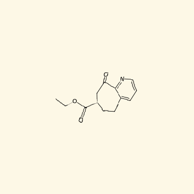 CCOC(=O)C1CCc2cccnc2C(=O)C1